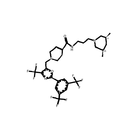 C[C@@H]1C[C@H](C)CN(CCCNC(=O)C2CCN(Cc3oc(-c4cc(C(F)(F)F)cc(C(F)(F)F)c4)nc3C(F)(F)F)CC2)C1